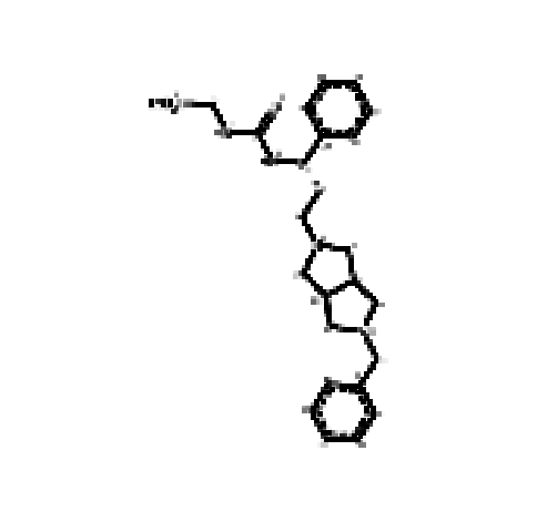 CCOC(=O)CNC(=O)N[C@@H](CCN1CC2CN(Cc3ccccc3)CC2C1)c1ccccc1